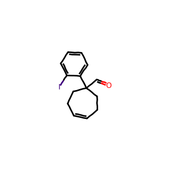 O=CC1(c2ccccc2I)CCC=CCC1